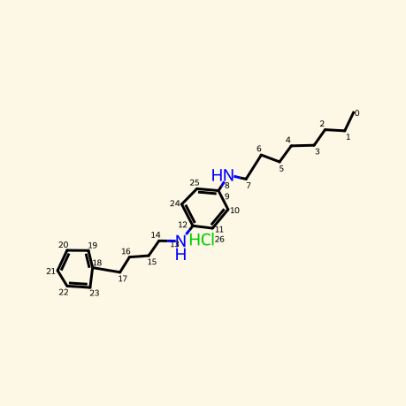 CCCCCCCCNc1ccc(NCCCCc2ccccc2)cc1.Cl